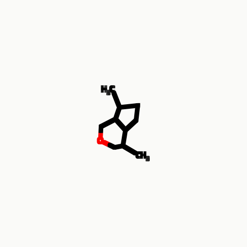 CC1COCC2C(C)CCC12